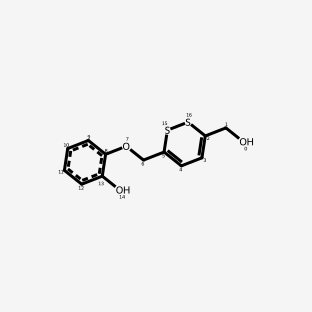 OCC1=CC=C(COc2ccccc2O)SS1